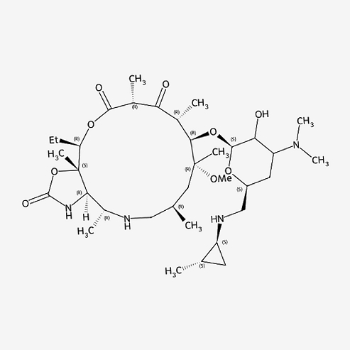 CC[C@H]1OC(=O)[C@H](C)C(=O)[C@H](C)[C@@H](O[C@@H]2O[C@H](CN[C@H]3C[C@@H]3C)CC(N(C)C)C2O)[C@](C)(OC)C[C@@H](C)CN[C@H](C)[C@H]2NC(=O)O[C@@]21C